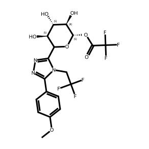 COc1ccc(-c2nnc(C3O[C@@H](OC(=O)C(F)(F)F)[C@H](O)[C@@H](O)[C@@H]3O)n2CC(F)(F)F)cc1